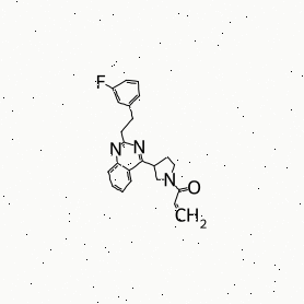 C=CC(=O)N1CCC(c2nc(CCc3cccc(F)c3)nc3ccccc23)C1